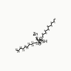 CCCCCCCCCCOP(=O)(S)S(=S)CCCCCCCCCC.[Zn]